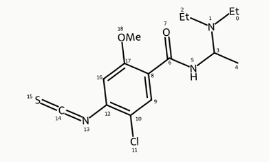 CCN(CC)C(C)NC(=O)c1cc(Cl)c(N=C=S)cc1OC